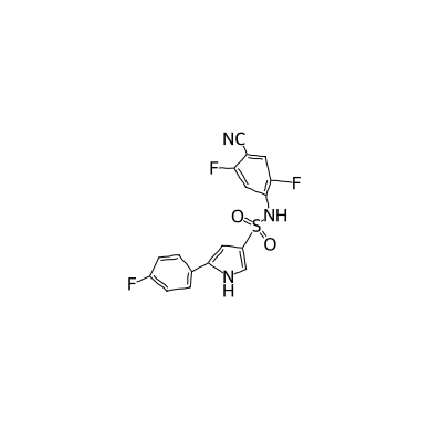 N#Cc1cc(F)c(NS(=O)(=O)c2c[nH]c(-c3ccc(F)cc3)c2)cc1F